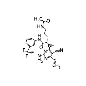 CSc1nc(N)nc(N[C@@H](CCCNC(C)=O)C(=O)Nc2cccc(C(F)(F)F)c2)c1C#N